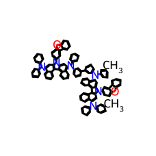 Cc1cccc(N(c2ccccc2)c2cc3c(c4ccccc24)c2c4ccccc4c(N(c4cccc(C)c4)c4cccc(-c5cccc(N(c6ccccc6)c6cc7c(c8ccccc68)c6c8ccccc8c(N(c8ccccc8)c8ccccc8)cc6n7-c6ccc7oc8ccccc8c7c6)c5)c4)cc2n3-c2ccc3oc4ccccc4c3c2)c1